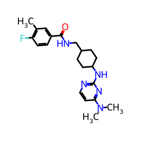 Cc1cc(C(=O)NCC2CCC(Nc3nccc(N(C)C)n3)CC2)ccc1F